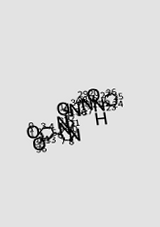 COc1ccc(-c2ccnc3cc(C(=O)N4CCN(C(=O)Nc5ccccc5)[C@@H](C)C4)nn23)cc1OC